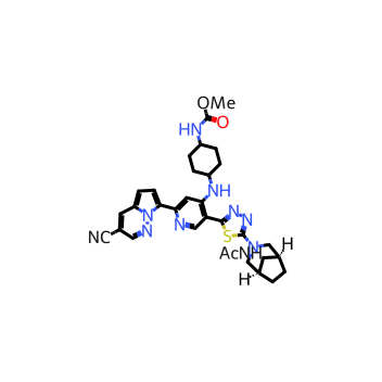 COC(=O)NC1CCC(Nc2cc(-c3ccc4cc(C#N)cnn34)ncc2-c2nnc(N3C[C@H]4CC[C@@H](C3)C4NC(C)=O)s2)CC1